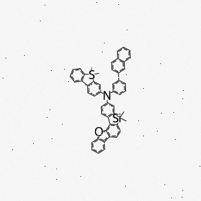 C[Si]1(C)c2cc(N(c3cccc(-c4ccc5ccccc5c4)c3)c3ccc4c(c3)S(C)(C)c3ccccc3-4)ccc2-c2c1ccc1c2oc2ccccc21